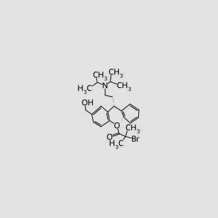 CC(C)N(CC[C@H](c1ccccc1)c1cc(CO)ccc1OC(=O)C(C)(C)Br)C(C)C